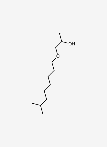 [CH2]C(O)COCCCCCCC(C)C